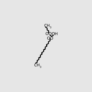 CCCCCC=CCC=CCC=CCC=CCCCC(=O)OC(CO)COC(=O)CCCCC